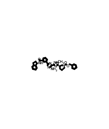 Cn1nc(-c2nc(-c3cccc(C(=O)N[C@H]4CCc5ccccc54)c3)cnc2N)nc1[C@@H]1CCCN(C(=O)OCc2ccccc2)C1